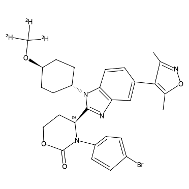 [2H]C([2H])([2H])O[C@H]1CC[C@H](n2c([C@@H]3CCOC(=O)N3c3ccc(Br)cc3)nc3cc(-c4c(C)noc4C)ccc32)CC1